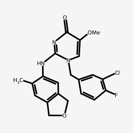 COc1cn(Cc2ccc(F)c(Cl)c2)c(Nc2cc3c(cc2C)COC3)nc1=O